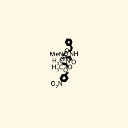 CNS(=O)(=O)[C@@H]1[C@H](NC(=O)Cc2ccccc2)C(=O)N1C(C(=O)OCc1ccc([N+](=O)[O-])cc1)=C(C)C